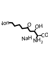 CCCCCCCCCCCCCC(=O)C[C@@H](O)[C@H](N)C(=O)O.[NaH]